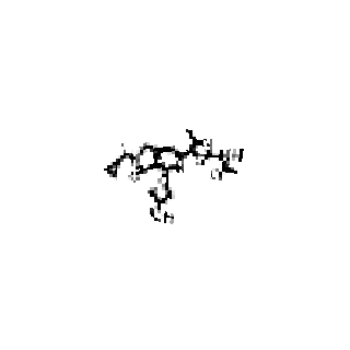 CC(=O)Nc1nc(C)c(-c2cc3c(c(N4CC(O)C4)n2)C(=O)N([C@@H](C)C2CC2)C3)s1